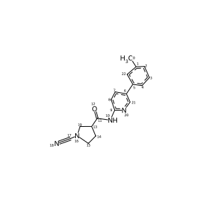 Cc1cccc(-c2ccc(NC(=O)C3CCN(C#N)C3)nc2)c1